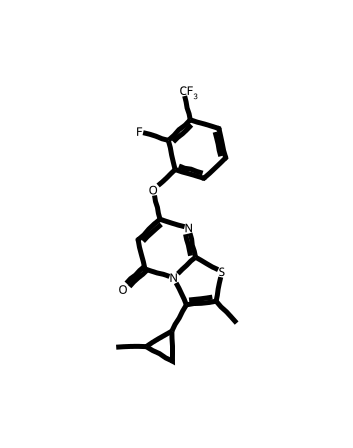 Cc1sc2nc(Oc3cccc(C(F)(F)F)c3F)cc(=O)n2c1C1CC1C